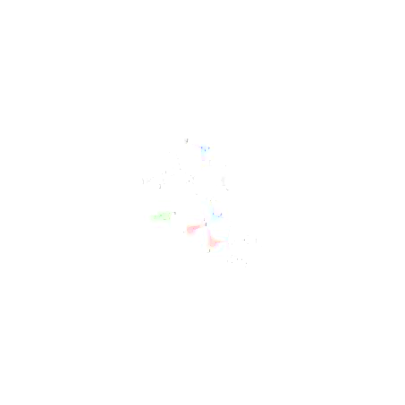 CC1(C)CN(c2ccc3nccc(C(=O)O)c3c2)C(=O)O1.Cl